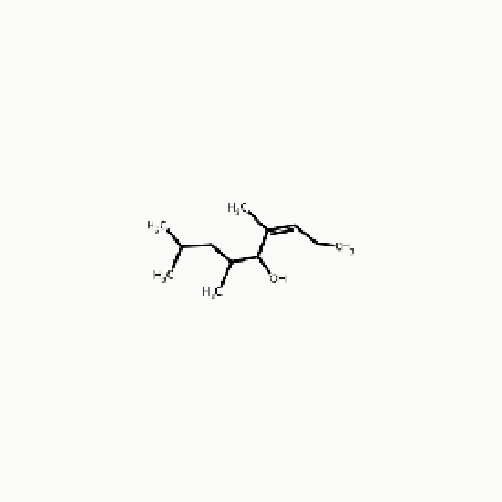 CCC=C(C)C(O)C(C)CC(C)C